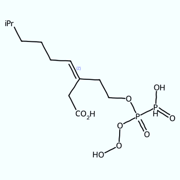 CC(C)CCC/C=C(/CCOP(=O)(OOO)[PH](=O)O)CC(=O)O